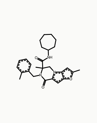 Cc1cc2c(cc3n2CC(C)(C(=O)NC2CCCCCC2)N(Cc2ccccc2C)C3=O)o1